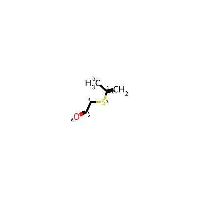 C=C(C)SC[C]=O